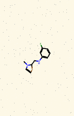 CN1C=CSC1CNc1cccc(F)c1